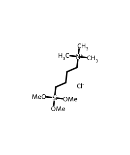 CO[Si](CCCC[N+](C)(C)C)(OC)OC.[Cl-]